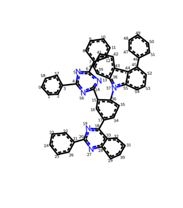 c1ccc(-c2nc(-c3ccccc3)nc(-c3cc(-c4nc(-c5ccccc5)nc5ccccc45)ccc3-n3c4ccccc4c4c(-c5ccccc5)cccc43)n2)cc1